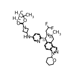 C[C@@H]1Cc2c(ccc3c2cnn3C2CCCCO2)[C@@H](c2ccc(NC3CN(C(=O)OC(C)(C)C)C3)cn2)N1CC(F)F